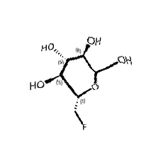 OC1O[C@H](CF)[C@@H](O)[C@H](O)[C@H]1O